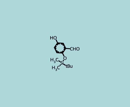 CC(C)(C)[Si](C)(C)Oc1ccc(O)cc1C=O